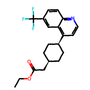 CCOC(=O)C[C@H]1CC[C@@H](c2ccnc3ccc(C(F)(F)F)cc32)CC1